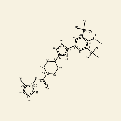 COc1c(C(C)(C)C)cc(-c2nc(C3CCN(C(=O)Cn4cncc4C)CC3)cs2)cc1C(C)(C)C